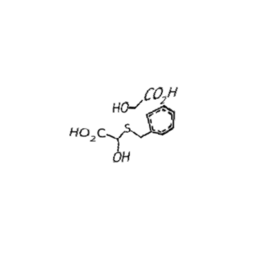 O=C(O)C(O)SCc1ccccc1.O=C(O)CO